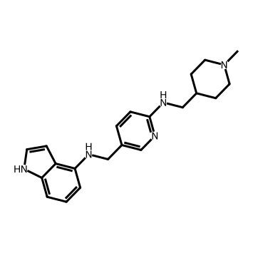 CN1CCC(CNc2ccc(CNc3cccc4[nH]ccc34)cn2)CC1